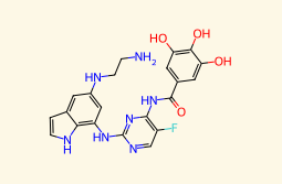 NCCNc1cc(Nc2ncc(F)c(NC(=O)c3cc(O)c(O)c(O)c3)n2)c2[nH]ccc2c1